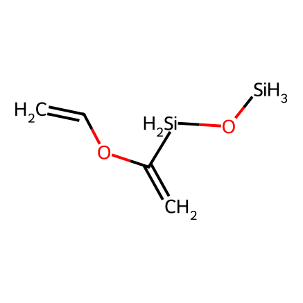 C=COC(=C)[SiH2]O[SiH3]